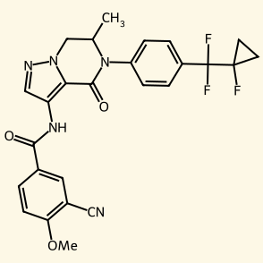 COc1ccc(C(=O)Nc2cnn3c2C(=O)N(c2ccc(C(F)(F)C4(F)CC4)cc2)C(C)C3)cc1C#N